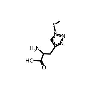 CSn1cc(CC(N)C(=O)O)nn1